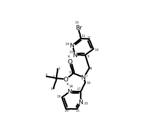 CC(C)(C)OC(=O)N(Cc1ccc(Br)nn1)Cc1ncccn1